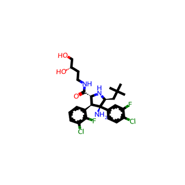 CC(C)(C)C[C@@H]1N[C@@H](C(=O)NCC[C@H](O)CO)[C@H](c2cccc(Cl)c2F)[C@@]1(N)c1ccc(Cl)c(F)c1